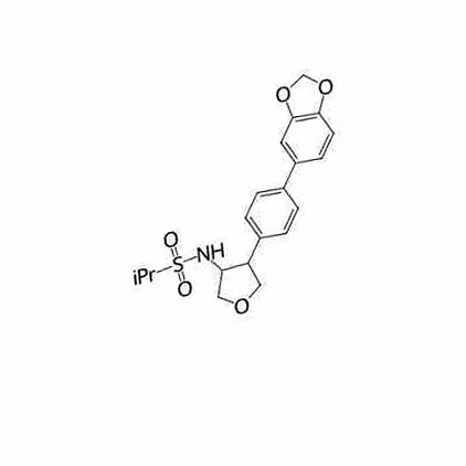 CC(C)S(=O)(=O)NC1COCC1c1ccc(-c2ccc3c(c2)OCO3)cc1